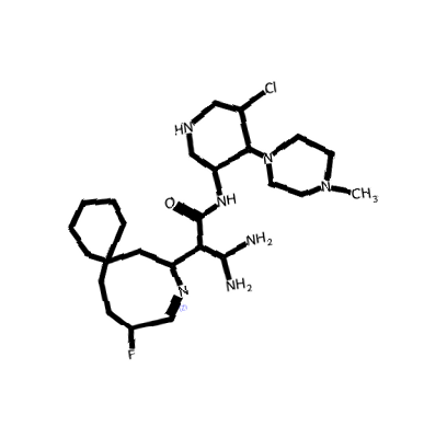 CN1CCN(C2C(Cl)CNCC2NC(=O)C(C(N)N)C2CC3(CCCCC3)CCC(F)/C=N\2)CC1